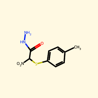 Cc1ccc(SC(C(=O)NN)[N+](=O)[O-])cc1